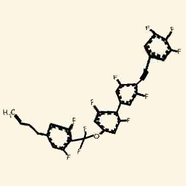 C=CCCc1cc(F)c(C(F)(F)Oc2cc(F)c(-c3cc(F)c(C#Cc4cc(F)c(F)c(F)c4)c(F)c3)c(F)c2)c(F)c1